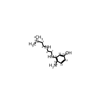 CN(C)CCNCCNc1cc(O)ccc1N